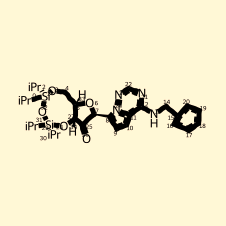 CC(C)[Si]1(C(C)C)OC[C@H]2O[C@@H](c3ccc4c(NCc5ccccc5)ncnn34)C(=O)[C@@H]2O[Si](C(C)C)(C(C)C)O1